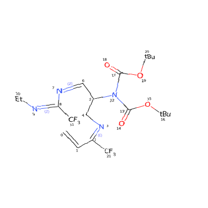 C=C/C(=N\CC(/C=N\C(=N/CC)C(F)(F)F)N(C(=O)OC(C)(C)C)C(=O)OC(C)(C)C)C(F)(F)F